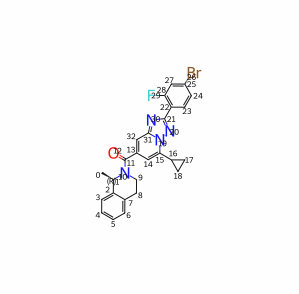 C[C@@H]1c2ccccc2CCN1C(=O)c1cc(C2CC2)n2nc(-c3ccc(Br)cc3F)nc2c1